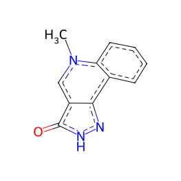 Cn1cc2c(=O)[nH]nc-2c2ccccc21